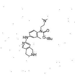 Cc1cc(Nc2cc3c(cn2)CCNC3)ccc1N(CCN(C)C)C(=O)OC(C)(C)C